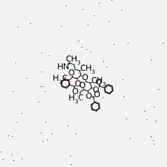 CCC1OC(CC(C)=N)C(C)C(OC2OC(CC)C(OC(=O)c3ccccc3)C(OC(=O)c3ccccc3)C2C)C1OC(=O)c1ccccc1